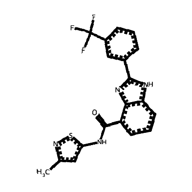 Cc1cc(NC(=O)c2cccc3[nH]c(-c4cccc(C(F)(F)F)c4)nc23)sn1